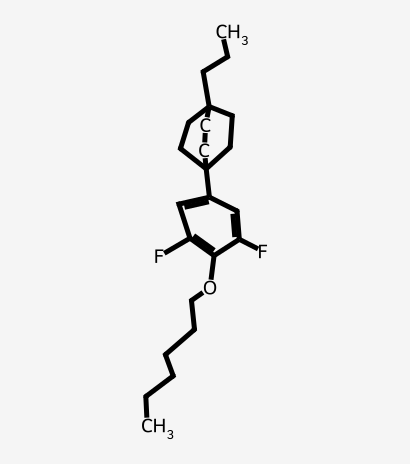 CCCCCCOc1c(F)cc(C23CCC(CCC)(CC2)CC3)cc1F